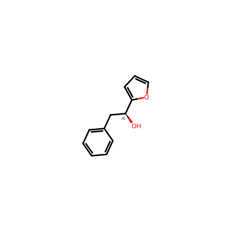 O[C@@H](Cc1ccccc1)c1ccco1